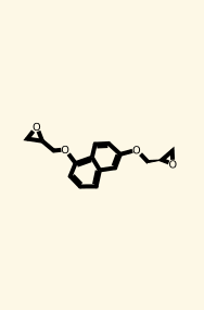 c1cc(OCC2CO2)c2ccc(OC[C@H]3CO3)cc2c1